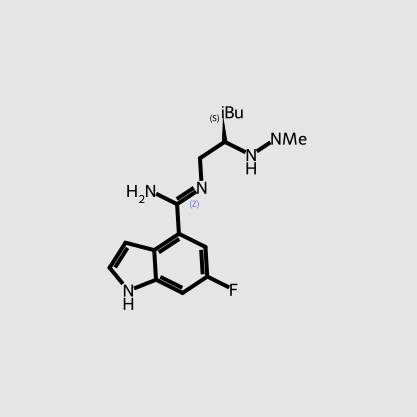 CC[C@H](C)C(C/N=C(\N)c1cc(F)cc2[nH]ccc12)NNC